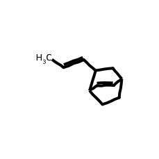 CC=CC1CC2C=CC1CC2